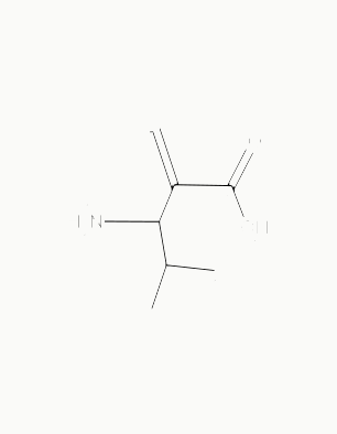 C=C(C(=O)O)C(N)C(C)C